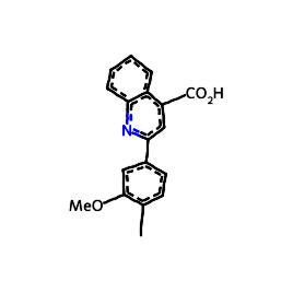 COc1cc(-c2cc(C(=O)O)c3ccccc3n2)ccc1C